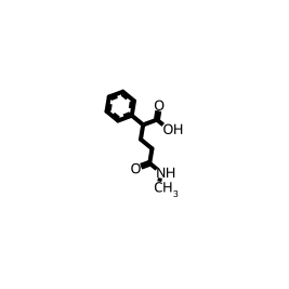 CNC(=O)CCC(C(=O)O)c1ccccc1